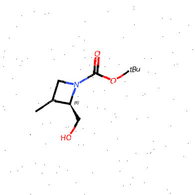 CC1CN(C(=O)OC(C)(C)C)[C@H]1CO